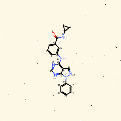 O=C(NC1CC1)c1cccc(Nc2ncnc3c2cnn3-c2ccccc2)c1